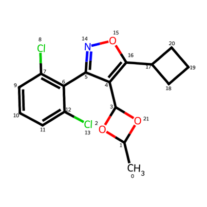 CC1OC(c2c(-c3c(Cl)cccc3Cl)noc2C2CCC2)O1